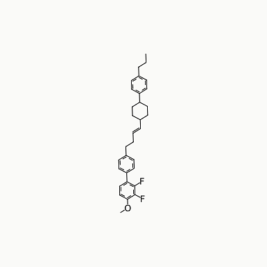 CCCc1ccc(C2CCC(/C=C/CCc3ccc(-c4ccc(OC)c(F)c4F)cc3)CC2)cc1